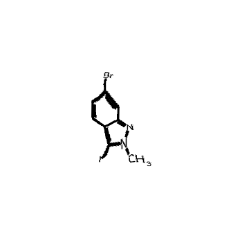 Cn1nc2cc(Br)ccc2c1I